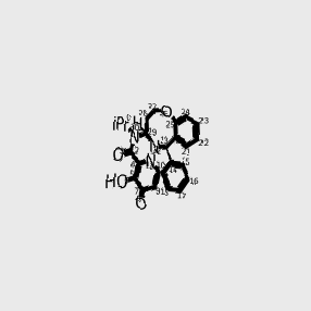 CC(C)N1C(=O)c2c(O)c(=O)ccn2N2[C@H](c3ccccc3)c3ccccc3OCC[C@@H]12